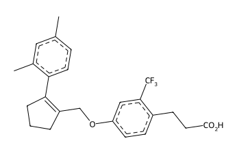 Cc1ccc(C2=C(COc3ccc(CCC(=O)O)c(C(F)(F)F)c3)CCC2)c(C)c1